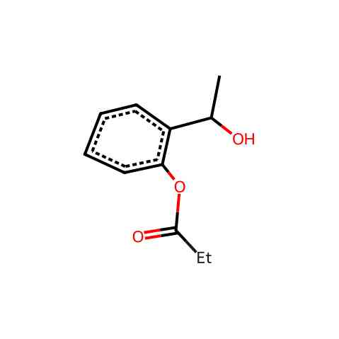 CCC(=O)Oc1ccccc1C(C)O